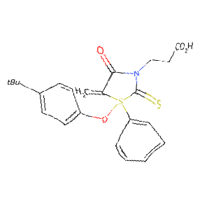 C=C1C(=O)N(CCC(=O)O)C(=S)S1(Oc1ccc(C(C)(C)C)cc1)c1ccccc1